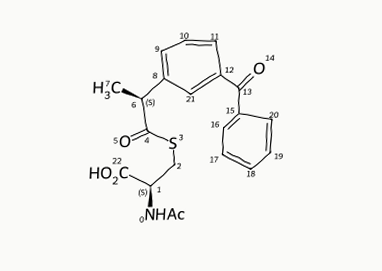 CC(=O)N[C@H](CSC(=O)[C@@H](C)c1cccc(C(=O)c2ccccc2)c1)C(=O)O